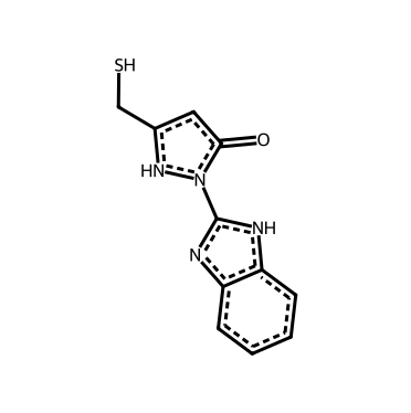 O=c1cc(CS)[nH]n1-c1nc2ccccc2[nH]1